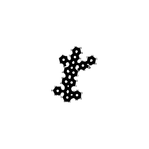 Cc1ccccc1-c1c2c(c(-c3cc4c(cc3C)sc3ccccc34)c3cc4ccccc4cc13)-c1ccc3c4ccc5c6c(ccc(c7ccc-2c1c73)c46)c1c(-c2ccccc2)c2cccc3c4ccccc4c(c23)c51